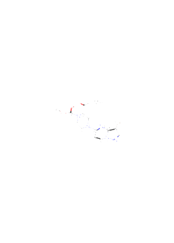 COC(=O)[C@@H]1CN(c2ccn3ncc(Br)c3n2)CCN1C(=O)OC(C)(C)C